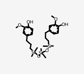 COc1cc(CCC[Si](C)(C)O[Si](C)(C)O[Si](C)(C)CCCc2ccc(O)c(OC)c2)ccc1O